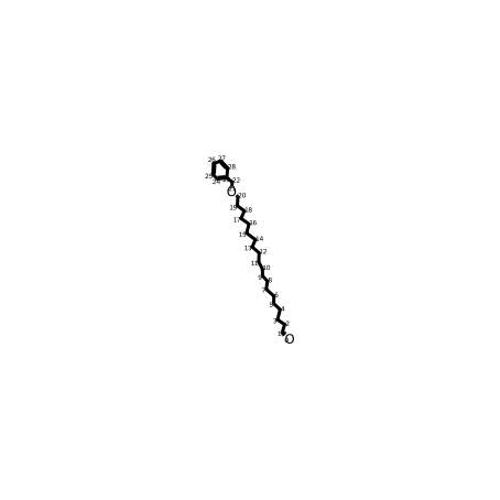 O=[C]CCCCCCCCCCCCCCCCCCCOCc1ccccc1